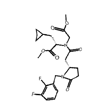 COC(=O)CN(C(=O)C[C@@H]1CCC(=O)N1Cc1cccc(F)c1F)[C@@H](CC1CC1)C(=O)OC